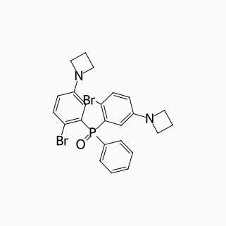 O=P(c1ccccc1)(c1cc(N2CCC2)ccc1Br)c1cc(N2CCC2)ccc1Br